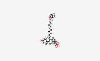 CC(C)(C)[Si](C)(C)OCCCCCCCCCCC[C@@H]1CC2=CC(=O)CC[C@]2(C)C2CC[C@@]3(C)C(CC[C@]3(C)CC(=O)O)C21